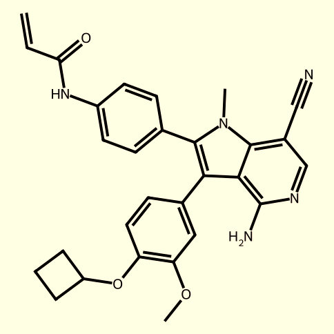 C=CC(=O)Nc1ccc(-c2c(-c3ccc(OC4CCC4)c(OC)c3)c3c(N)ncc(C#N)c3n2C)cc1